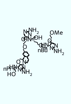 CCCC[C@@H](COCCC[C@@H](CO)Nc1nc(N)ncc1OCCOCc1ccc2ccnc(COc3cnc(N)nc3N[C@H](CO)CCC)c2c1)Nc1nc(N)ncc1OCCOC